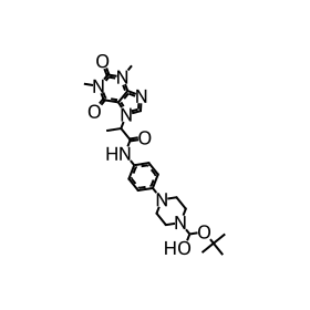 CC(C(=O)Nc1ccc(N2CCN(C(O)OC(C)(C)C)CC2)cc1)n1cnc2c1c(=O)n(C)c(=O)n2C